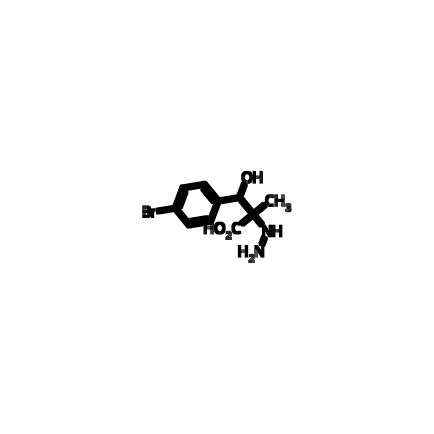 CC(NN)(C(=O)O)C(O)c1ccc(Br)cc1